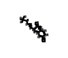 CC(C)(C)CC/N=C/c1cc2cc(Cl)ccc2nc1Cl